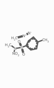 C=[N+]=[N-].Cc1ccc(S(=O)(=O)N(C)[N+](=O)[O-])cc1